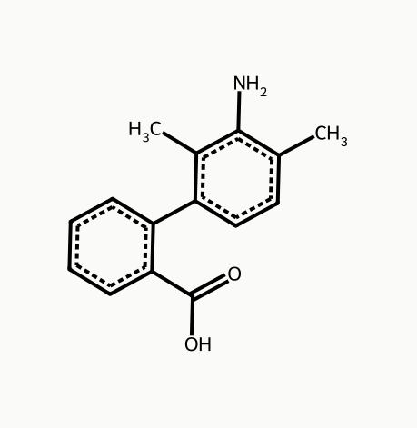 Cc1ccc(-c2ccccc2C(=O)O)c(C)c1N